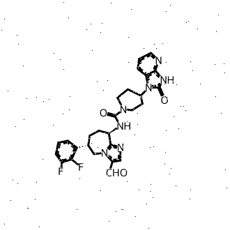 O=Cc1cnc2n1C[C@H](c1cccc(F)c1F)CC[C@H]2NC(=O)N1CCC(n2c(=O)[nH]c3ncccc32)CC1